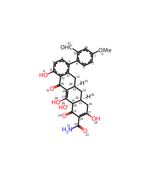 COc1ccc(-c2ccc(O)c3c2C[C@H]2C[C@H]4CC(O)=C(C(N)=O)C(=O)[C@@]4(O)C(O)=C2C3=O)c(C=O)c1